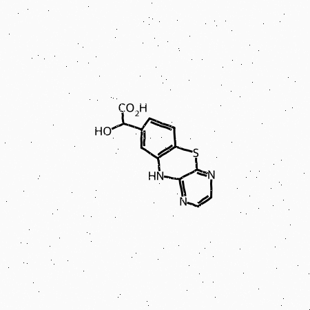 O=C(O)C(O)c1ccc2c(c1)Nc1nccnc1S2